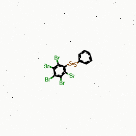 Brc1c(Br)c(Br)c(SSc2ccccc2)c(Br)c1Br